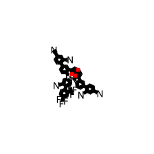 N#Cc1ccc(-c2ccc3c(c2)c2ccccc2n3-c2cc(C#N)c(-c3ccc(C(F)(F)F)cc3C(F)(F)F)cc2-n2c3ccccc3c3cc(-c4ccc(C#N)cc4C#N)ccc32)c(C#N)c1